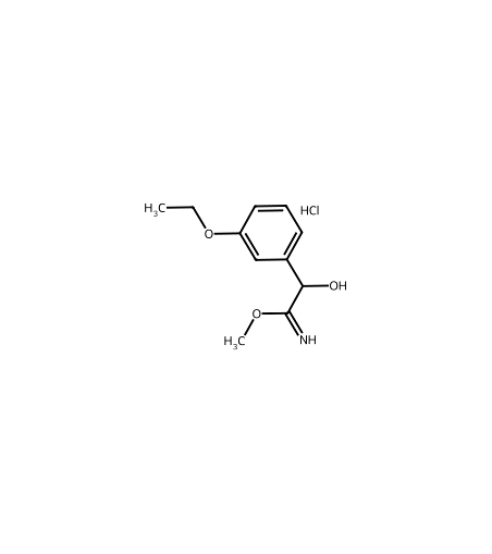 CCOc1cccc(C(O)C(=N)OC)c1.Cl